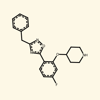 Fc1ccc(-c2nc(Cc3ccccc3)no2)c(OC2CCNCC2)c1